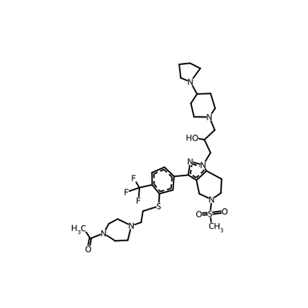 CC(=O)N1CCN(CCSc2cc(-c3nn(CC(O)CN4CCC(N5CCCC5)CC4)c4c3CN(S(C)(=O)=O)CC4)ccc2C(F)(F)F)CC1